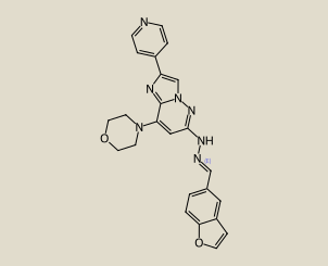 C(=N\Nc1cc(N2CCOCC2)c2nc(-c3ccncc3)cn2n1)/c1ccc2occc2c1